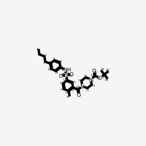 CCCCc1ccc(NS(=O)(=O)c2ccc(C)c(C(=O)N3CCN(C(=O)OC(C)(C)C)CC3)c2)cc1